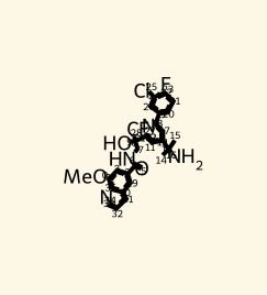 COc1cc(C(=O)NCC(O)(c2cc(C(C)(C)N)cc(-c3ccc(F)c(Cl)c3)n2)C(F)(F)F)cc2cccnc12